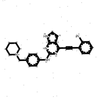 CC(C)c1ccccc1C#Cc1nc(Nc2ccc(CN3CCCCC3)cc2)nc2[nH]ccc12